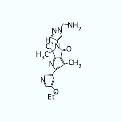 CCOc1cncc(-c2cc(C)c3c(n2)C(C)(C)N(c2cnn(CN)c2)C3=O)c1